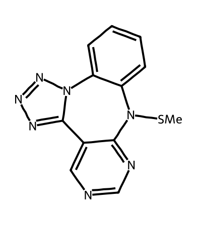 CSN1c2ccccc2-n2nnnc2-c2cncnc21